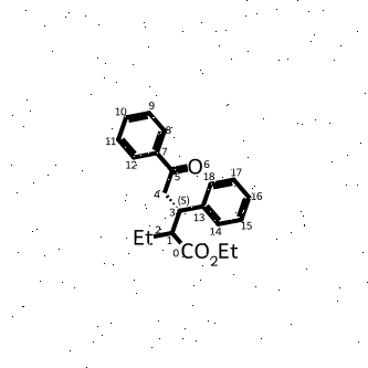 CCOC(=O)C(CC)[C@H](CC(=O)c1ccccc1)c1ccccc1